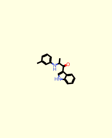 Cc1cccc(NC(C)C(=O)c2c[nH]c3ccccc23)c1